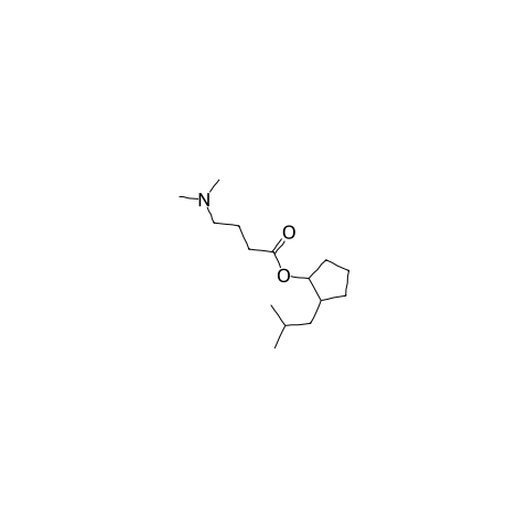 CC(C)CC1CCCC1OC(=O)CCCN(C)C